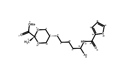 COC(=O)[C@]1(C)OC[C@H](CCCCC(NC(=O)c2cccs2)C(C)=O)CO1